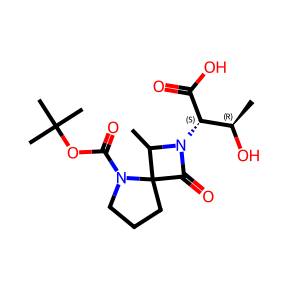 CC1N([C@H](C(=O)O)[C@@H](C)O)C(=O)C12CCCN2C(=O)OC(C)(C)C